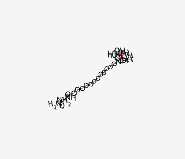 NC(=O)[C@@H](N)CCCCNC(=O)CCOCCOCCOCCOCCOCCOCCOCCOCCOCCOCCOCCOCCNC1O[C@H](C(O)O)[C@@H](O)[C@H](O)[C@H]1O